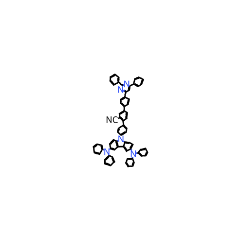 N#Cc1cc(-c2ccc(-c3cc(-c4ccccc4)nc(-c4ccccc4)n3)cc2)ccc1-c1ccc(-n2c3ccc(N(c4ccccc4)c4ccccc4)cc3c3cc(N(c4ccccc4)c4ccccc4)ccc32)cc1